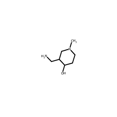 CN1CCC(O)C(CN)C1